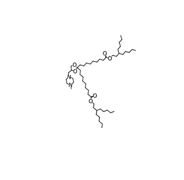 CCCCCC(CCCCC)CCOC(=O)CCCCCCCCC1(CCCCCCCCC(=O)OCCC(CCCCC)CCCCC)OCC(CN2CCN(C)CC2)O1